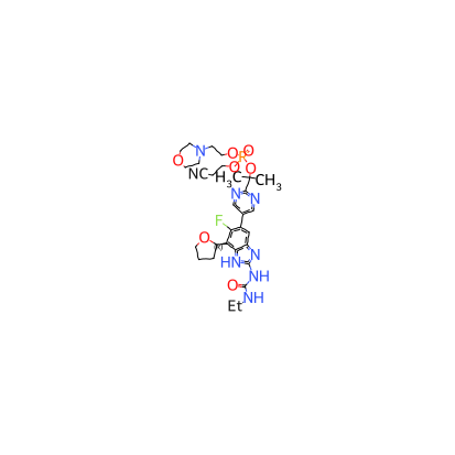 CCNC(=O)Nc1nc2cc(-c3cnc(C(C)(C)OP(=O)(OCCC#N)OCCN4CCOCC4)nc3)c(F)c([C@H]3CCCO3)c2[nH]1